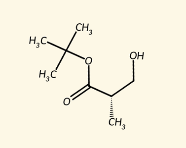 C[C@@H](CO)C(=O)OC(C)(C)C